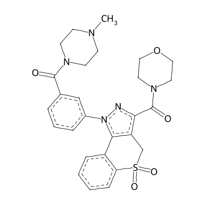 CN1CCN(C(=O)c2cccc(-n3nc(C(=O)N4CCOCC4)c4c3-c3ccccc3S(=O)(=O)C4)c2)CC1